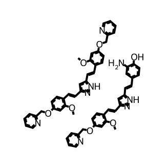 COc1cc(OCc2ccccn2)ccc1/C=C/c1cc(/C=C/c2ccc(O)c(N)c2)[nH]n1.COc1cc(OCc2ccccn2)ccc1/C=C/c1cc(/C=C/c2ccc(OCc3ccccn3)cc2OC)[nH]n1